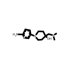 CN(C)CC1(O)CCN(c2ccc(N)nc2)CC1